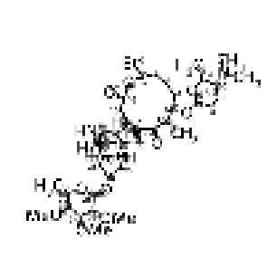 CC[C@H]1CCC[C@H](O[C@H]2CC[C@H](N(C)C)C(C)O2)[C@@H](C)C(=O)C2=C[C@H]3[C@@H]4C[C@H](O[C@@H]5OC(C)[C@H](OC)C(OC)C5OC)C[C@H]4[C@H]4N[C@H]4[C@H]3[C@@H]2CC(=O)O1